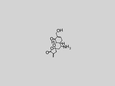 C=C1C[C@@]2(C[C@H](N)[C@H]3CC=C(CO)C(=O)[C@@H]3O2)OC1=O